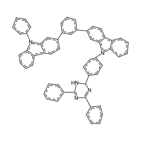 c1ccc(C2=NC(c3ccc(-n4c5ccccc5c5ccc(-c6cccc(-c7ccc8c9ccccc9n(-c9ccccc9)c8c7)c6)cc54)cc3)NC(c3ccccc3)=N2)cc1